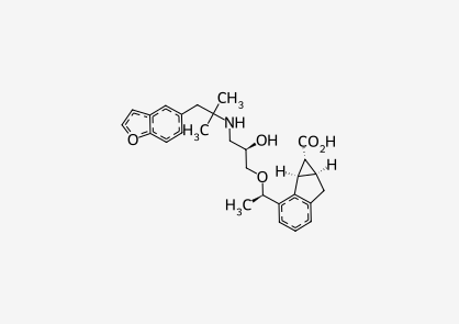 C[C@@H](OC[C@H](O)CNC(C)(C)Cc1ccc2occc2c1)c1cccc2c1[C@@H]1[C@H](C2)[C@H]1C(=O)O